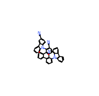 N#Cc1ccc2c(c1)c1ccccc1n2-c1c(C#N)cccc1-c1ccccc1-c1cccc(-n2c3ccc#cc3c3ccccc32)c1C#N